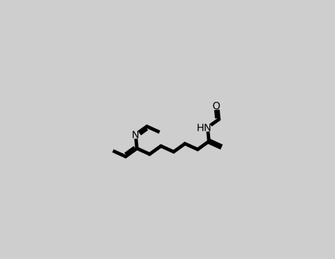 C=C(CCCCCC(=C/C)/N=C\C)NC=O